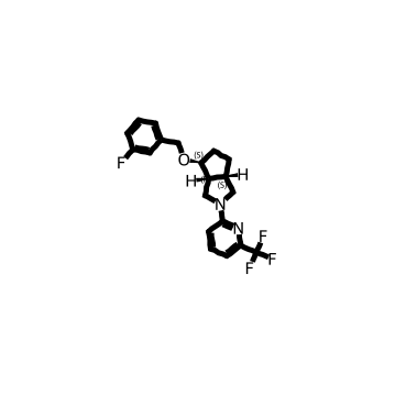 Fc1cccc(CO[C@H]2CC[C@@H]3CN(c4cccc(C(F)(F)F)n4)C[C@@H]32)c1